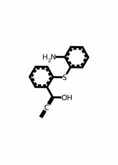 C=C=C(O)c1ccccc1Sc1ccccc1N